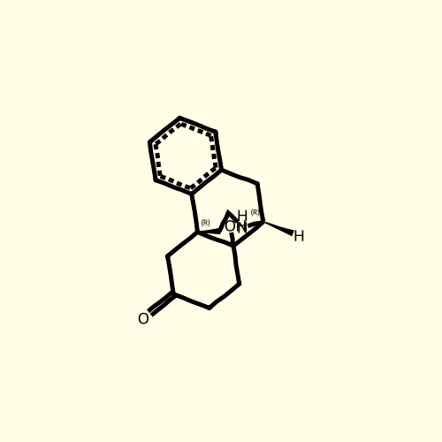 O=C1CCC2(O)[C@H]3Cc4ccccc4[C@@]2(CCN3)C1